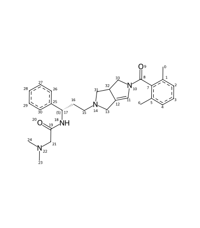 Cc1cccc(C)c1C(=O)N1C=C2CN(CC[C@H](NC(=O)CN(C)C)c3ccccc3)CC2C1